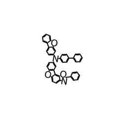 c1ccc(-c2ccc(N(c3ccc4c(c3)oc3ccccc34)c3ccc4oc5ccc6nc(-c7ccccc7)oc6c5c4c3)cc2)cc1